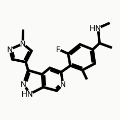 CNC(C)c1cc(C)c(-c2cc3c(-c4cnn(C)c4)n[nH]c3cn2)c(F)c1